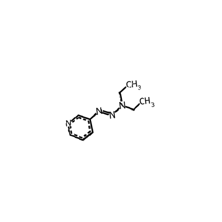 CCN(CC)N=Nc1cccnc1